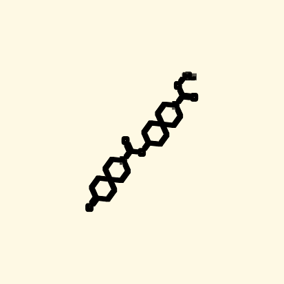 CC(C)(C)OC(=O)N1CCC2(CCC(OC(=O)N3CCC4(CCC(=O)CC4)CC3)CC2)CC1